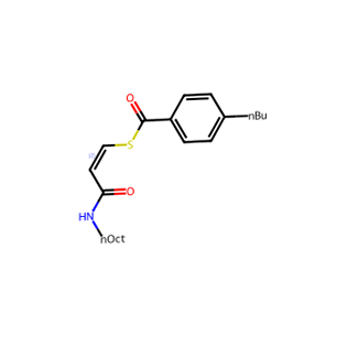 CCCCCCCCNC(=O)/C=C\SC(=O)c1ccc(CCCC)cc1